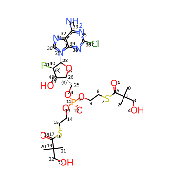 CC(C)(CO)C(=O)SCCOP(=O)(OCCSC(=O)C(C)(C)CO)OC[C@H]1OC(n2cnc3c(N)nc(Cl)nc32)[C@H](F)[C@H]1O